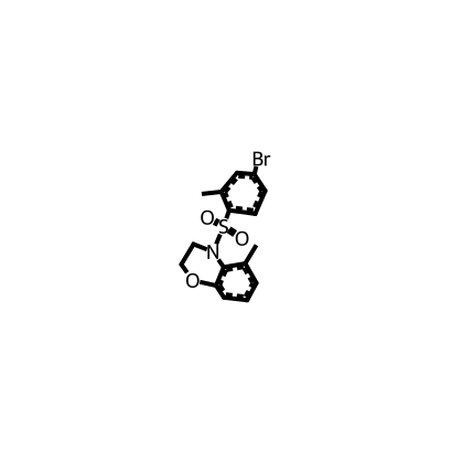 Cc1cc(Br)ccc1S(=O)(=O)N1CCOc2cccc(C)c21